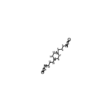 O=C=NCCCN1CCN(CCCN=C=O)CC1